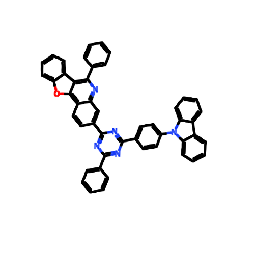 c1ccc(-c2nc(-c3ccc(-n4c5ccccc5c5ccccc54)cc3)nc(-c3ccc4c(c3)nc(-c3ccccc3)c3c5ccccc5oc43)n2)cc1